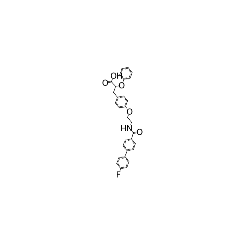 O=C(NCCOc1ccc(CC(Oc2ccccc2)C(=O)O)cc1)c1ccc(-c2ccc(F)cc2)cc1